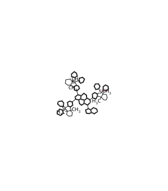 CC12CCCCC1(C)[Si](c1ccccc1)(c1ccccc1)c1ccc(-c3cc(-c4ccc5c(c4)C4(C)CCCCC4(C)[Si]5(c4ccccc4)c4ccccc4)c4ccc5c(-c6cccc7ccccc67)cc(-c6ccc7c(c6)C6(C)CCCCC6(C)[Si]7(c6ccccc6)c6ccccc6)c6ccc3c4c65)cc12